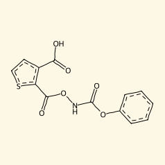 O=C(NOC(=O)c1sccc1C(=O)O)Oc1ccccc1